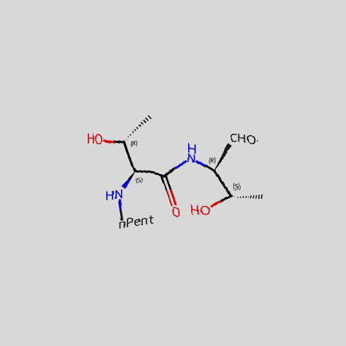 CCCCCN[C@H](C(=O)N[C@@H]([C]=O)[C@H](C)O)[C@@H](C)O